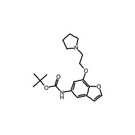 CC(C)(C)OC(=O)Nc1cc(OCCN2CCCC2)c2occc2c1